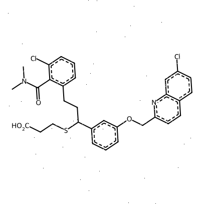 CN(C)C(=O)c1c(Cl)cccc1CCC(SCCC(=O)O)c1cccc(OCc2ccc3ccc(Cl)cc3n2)c1